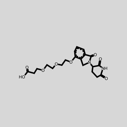 O=C(O)CCOCCOCCOc1cccc2c1CN(C1CCC(=O)NC1=O)C2=O